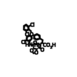 O=C(O)[C@H](Cc1ccc(OCc2c(Cl)cccc2Cl)cc1)NC(=O)[C@@H]1OCO[C@H]1C(=O)Nc1ccccc1Cl